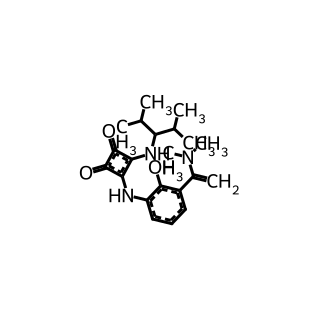 C=C(c1cccc(Nc2c(NC(C(C)C)C(C)C)c(=O)c2=O)c1O)N(C)C